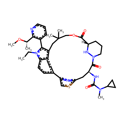 CCn1c(-c2cccnc2[C@H](C)OC)c2c3cc(ccc31)-c1csc(n1)C[C@H](NC(=O)N(C)C1CC1)C(=O)N1CCC[C@H](N1)C(=O)OCC(C)(C)C2